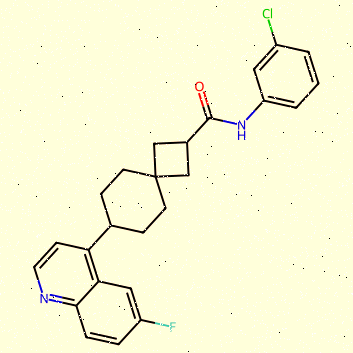 O=C(Nc1cccc(Cl)c1)C1CC2(CCC(c3ccnc4ccc(F)cc34)CC2)C1